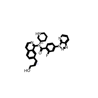 O=C(c1ccc(-n2nnc3cccnc32)cc1F)N(c1nccc2ccc(/C=C\CO)cc12)[C@@H]1CCCNC1